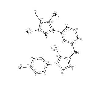 Cc1nn(-c2cc(Nc3[nH]nc(-c4ccc(C#N)cc4)c3C)ncn2)c(C)c1F